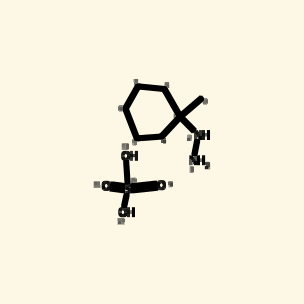 CC1(NN)CCCCC1.O=S(=O)(O)O